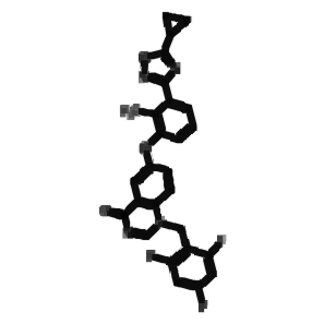 O=c1ncn(Cc2c(F)cc(F)cc2F)c2ccc(Oc3cccc(-c4noc(C5CC5)n4)c3C(F)(F)F)cc12